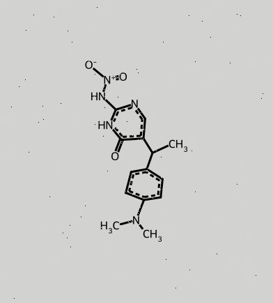 CC(c1ccc(N(C)C)cc1)c1cnc(N[N+](=O)[O-])[nH]c1=O